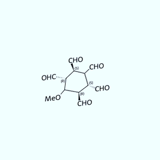 COC1[C@H](C=O)[C@@H](C=O)C(C=O)[C@H](C=O)[C@H]1C=O